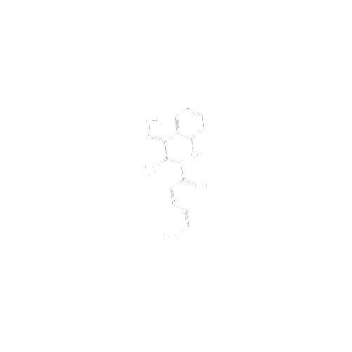 C=C(/C=C\C=C/C)SC(=C)/C(=N/C)c1ccccc1C